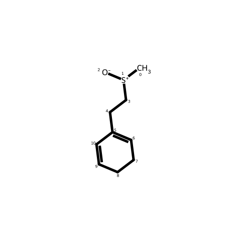 C[S+]([O-])CCC1=CCCC=C1